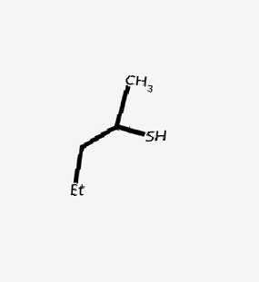 [CH2]CCC(C)S